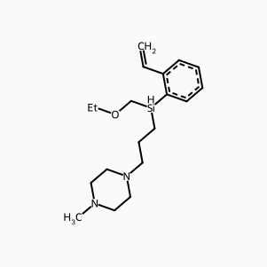 C=Cc1ccccc1[SiH](CCCN1CCN(C)CC1)COCC